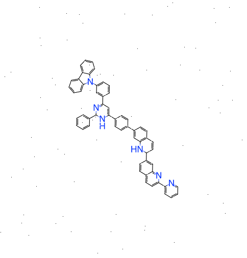 C1=CC(c2ccc3ccc(-c4ccccn4)nc3c2)Nc2cc(-c3ccc(C4=CC(c5cccc(-n6c7ccccc7c7ccccc76)c5)=NC(c5ccccc5)N4)cc3)ccc21